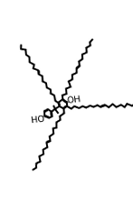 CCCCCCCCC=CCCCCCCCCc1c(O)c(CCCCCCCCC=CCCCCCCCC)c(CCCCCCCCC=CCCCCCCCC)c(C(C)(C)c2ccc(O)cc2)c1CCCCCCCCC=CCCCCCCCC